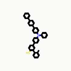 Cc1ccccc1-c1cc(-c2ccc(N(c3ccccc3)c3ccc(-c4ccc(-c5ccccc5)cc4)cc3)cc2)ccc1S